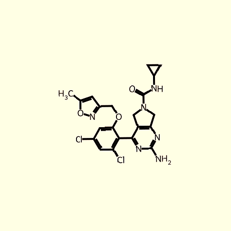 Cc1cc(COc2cc(Cl)cc(Cl)c2-c2nc(N)nc3c2CN(C(=O)NC2CC2)C3)no1